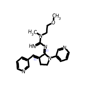 COCCN(C)C(=N)/N=C1\C(=C\c2cccnc2)CCN1c1cccnc1